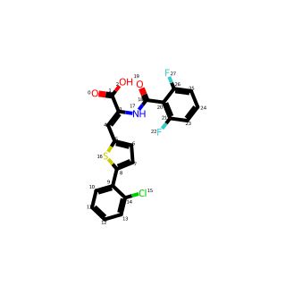 O=C(O)C(=Cc1ccc(-c2ccccc2Cl)s1)NC(=O)c1c(F)cccc1F